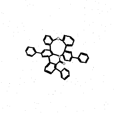 O=c1c2c(-c3ccccc3)cccc2c2cc(-c3ccccc3)cc3c2n1-c1ccc(-c2ccccc2)cc1-c1ccccc1Oc1ccccc1-3